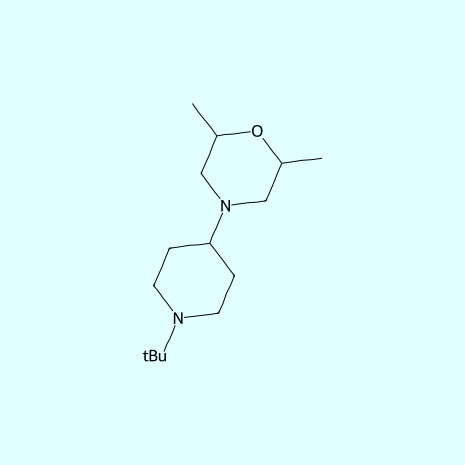 CC1CN(C2CCN(C(C)(C)C)CC2)CC(C)O1